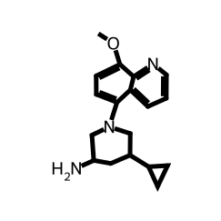 COc1ccc(N2CC(N)CC(C3CC3)C2)c2cccnc12